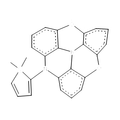 C[Si]1(C)C=CC=C1N1c2cccc3c2B2c4c(cccc4Oc4cccc1c42)O3